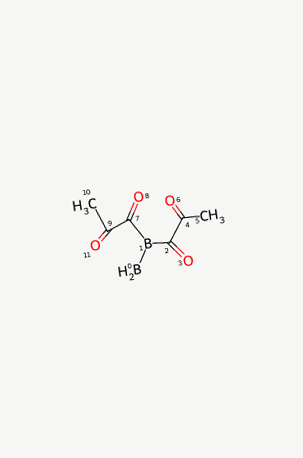 BB(C(=O)C(C)=O)C(=O)C(C)=O